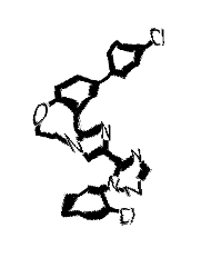 Clc1ccc(-c2ccc3c(c2)-c2nc(-c4ncnn4-c4ccccc4Cl)cn2CCO3)cc1